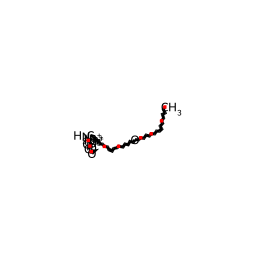 C1CO1.CCCCCCCC/C=C\CCCCCCCCOCCCCCCCC/C=C\CCCCCCCC.O=P([O-])([O-])[O-].[Na+].[Na+].[Na+]